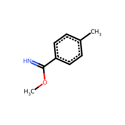 COC(=N)c1ccc(C)cc1